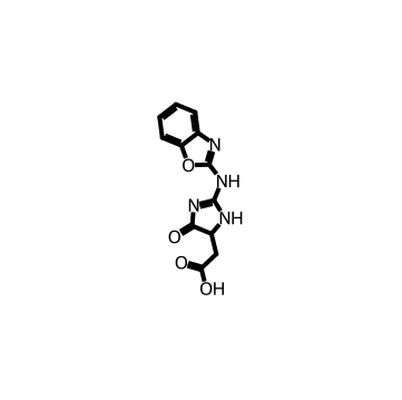 O=C(O)CC1NC(Nc2nc3ccccc3o2)=NC1=O